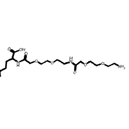 CC(=O)CCC(NC(=O)COCCOCCNC(=O)COCCOCCN)C(=O)O